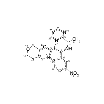 CC(Nc1cc(=O)n(CC2CCOCC2)c2ccc([N+](=O)[O-])cc12)c1ncccn1